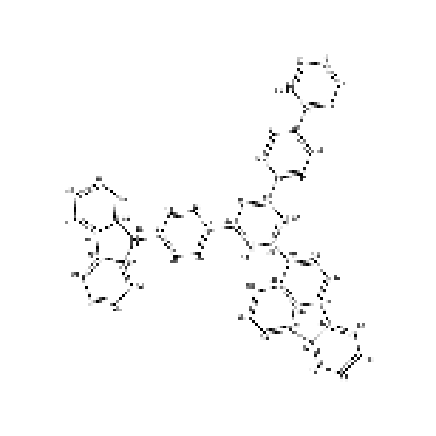 c1ccc(-c2ccc(-c3cc(-c4ccc(-n5c6ccccc6c6ccccc65)cc4)nc(-c4ccc5c6c(cccc46)-c4ccccc4-5)n3)cc2)nc1